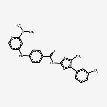 Cc1sc(NC(=O)c2ccc(Nc3cc(N(C)C)ncn3)cc2)nc1-c1cccc(C(F)(F)F)c1